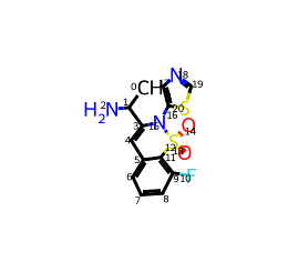 CC(N)C1=Cc2cccc(F)c2S(=O)(=O)N1c1cncs1